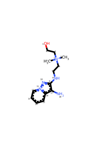 C[N+](C)(CCO)CCNc1nn2ccccc2c1N